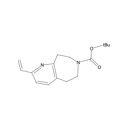 C=Cc1ccc2c(n1)CCN(C(=O)OC(C)(C)C)CC2